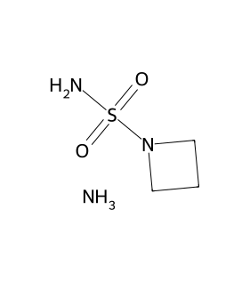 N.NS(=O)(=O)N1CCC1